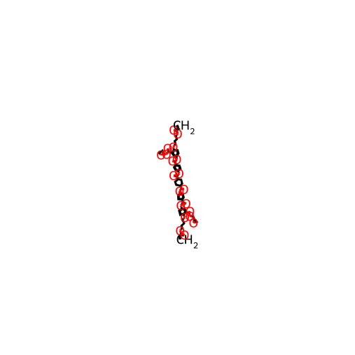 C=CC(=O)OCCCCOc1ccc(OC(=O)c2ccc(OC(=O)C3CCC(C(=O)Oc4ccc(C(=O)Oc5ccc(OCCCCOC(=O)C=C)c(C(=O)OC6CCO6)c5)cc4)CC3)cc2)cc1C(=O)OCC1CO1